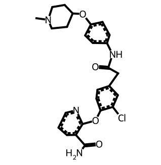 CN1CCC(Oc2ccc(NC(=O)Cc3ccc(Oc4ncccc4C(N)=O)c(Cl)c3)cc2)CC1